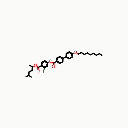 CCCCCCCCCOc1ccc(-c2ccc(C(=O)Oc3ccc(C(=O)OC(C)CCC(C)C)c(F)c3)cc2)cc1